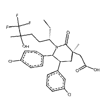 CC[C@@H](CCC(C)(O)C(F)(F)F)N1C(=O)[C@@](C)(CC(=O)O)CC(c2cccc(Cl)c2)C1c1ccc(Cl)cc1